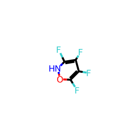 FC1=C(F)C(F)=C(F)ON1